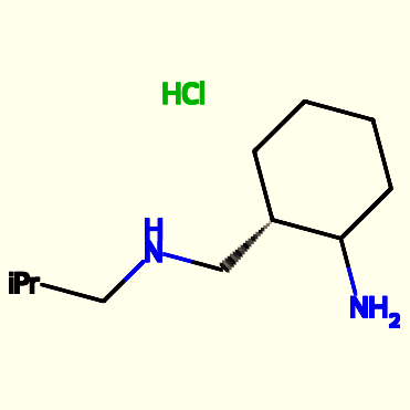 CC(C)CNC[C@@H]1CCCCC1N.Cl